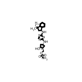 CC1(C)C[C@H](Nc2ncnc(N[C@@H]3C[C@@H](COS(N)(=O)=O)[C@@H](O)C3)n2)c2ccccc21